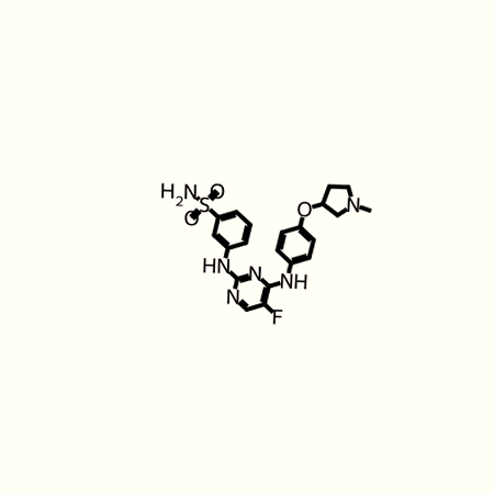 CN1CCC(Oc2ccc(Nc3nc(Nc4cccc(S(N)(=O)=O)c4)ncc3F)cc2)C1